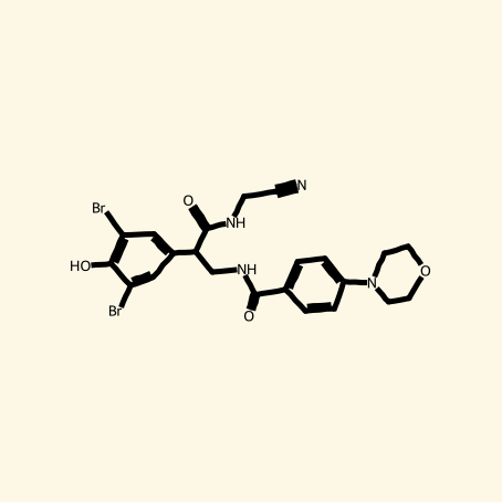 N#CCNC(=O)C(CNC(=O)c1ccc(N2CCOCC2)cc1)c1cc(Br)c(O)c(Br)c1